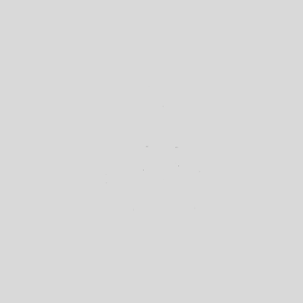 Cc1ccc(Br)cc1C(=O)c1ccc(Cl)cc1